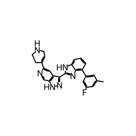 Cc1cc(F)cc(-c2cccc3[nH]c(-c4n[nH]c5cnc(C6=CCNCC6)cc45)nc23)c1